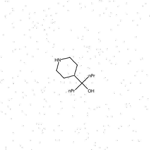 CCCC(O)(CCC)C1CCNCC1